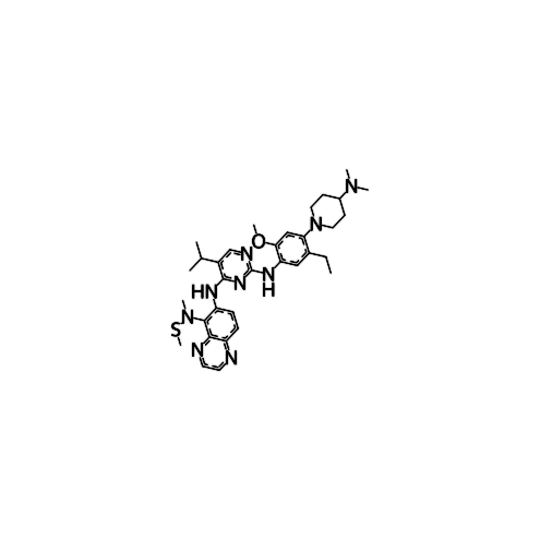 CCc1cc(Nc2ncc(C(C)C)c(Nc3ccc4nccnc4c3N(C)SC)n2)c(OC)cc1N1CCC(N(C)C)CC1